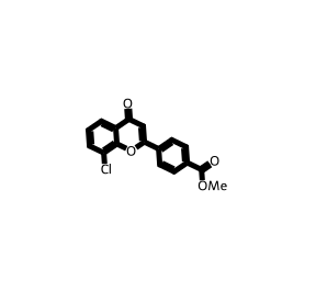 COC(=O)c1ccc(-c2cc(=O)c3cccc(Cl)c3o2)cc1